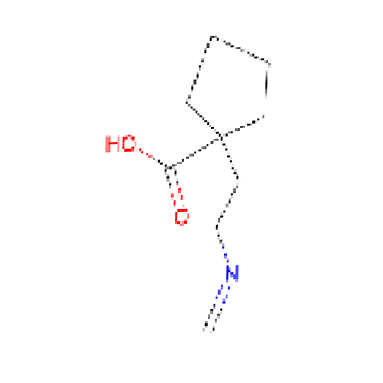 C=NCCC1(C(=O)O)CCCC1